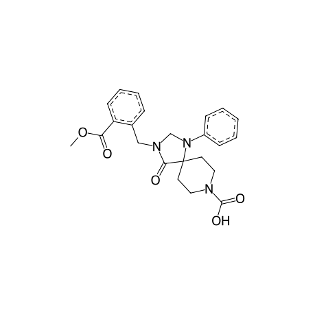 COC(=O)c1ccccc1CN1CN(c2ccccc2)C2(CCN(C(=O)O)CC2)C1=O